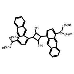 CCCCCN(CCCCC)c1ccc(C2C(O)C(c3ccc(N(CCCCC)CCCCC)c4cc5ccccc5cc34)C2O)c2cc3ccccc3cc12